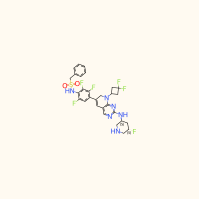 O=S(=O)(Cc1ccccc1)Nc1c(F)cc(C2=Cc3cnc(N[C@@H]4CNC[C@@H](F)C4)nc3N(C3CC(F)(F)C3)C2)c(F)c1F